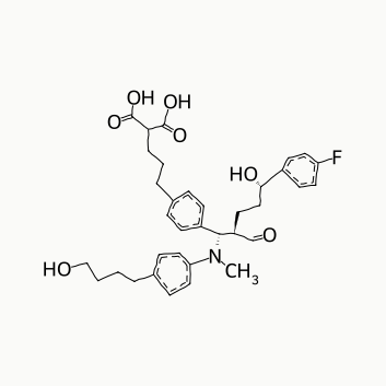 CN(c1ccc(CCCCO)cc1)[C@H](c1ccc(CCCC(C(=O)O)C(=O)O)cc1)[C@H](C=O)CC[C@H](O)c1ccc(F)cc1